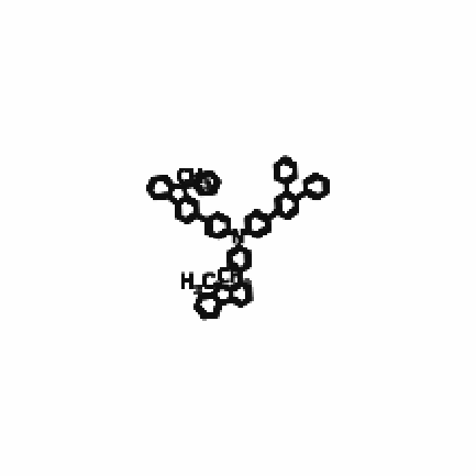 CC1(C)c2ccccc2-c2cccc(-c3ccc(N(c4ccc(-c5ccc(-c6ccccc6)c(-c6ccccc6)c5)cc4)c4ccc(-c5ccc6c(c5)C(C)(c5ccccc5)c5ccccc5-6)cc4)cc3)c21